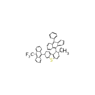 CC1C=Cc2sc3c(c2C1c1c2ccccc2c(-c2ccccc2)c2ccccc12)=CCC(c1c2ccccc2c(C(F)(F)F)c2ccccc12)C=3